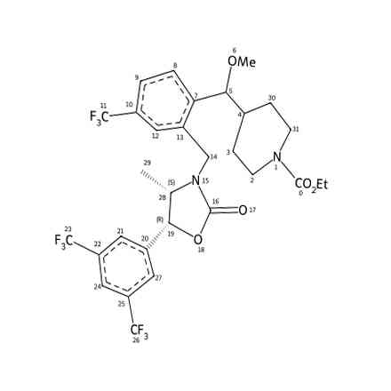 CCOC(=O)N1CCC(C(OC)c2ccc(C(F)(F)F)cc2CN2C(=O)O[C@H](c3cc(C(F)(F)F)cc(C(F)(F)F)c3)[C@@H]2C)CC1